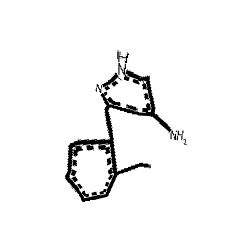 Cc1ccccc1-c1n[nH]cc1N